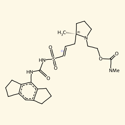 CNC(=O)OCCN1CCC[C@]1(C)C/C=C/S(=O)(=O)NC(=O)Nc1c2c(cc3c1CCC3)CCC2